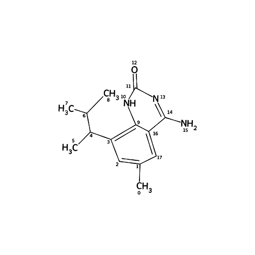 Cc1cc(C(C)C(C)C)c2[nH]c(=O)nc(N)c2c1